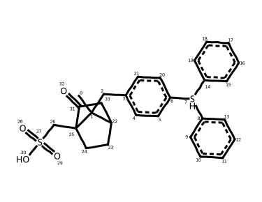 CC1(Cc2ccc([SH](c3ccccc3)c3ccccc3)cc2)C2CCC1(CS(=O)(=O)O)C(=O)C2